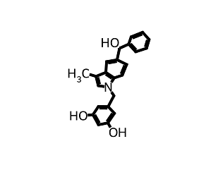 Cc1cn(Cc2cc(O)cc(O)c2)c2ccc(C(O)c3ccccc3)cc12